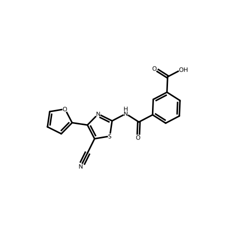 N#Cc1sc(NC(=O)c2cccc(C(=O)O)c2)nc1-c1ccco1